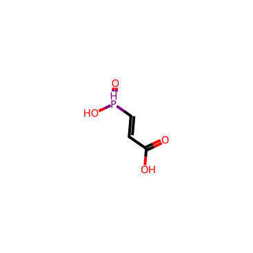 O=C(O)C=C[PH](=O)O